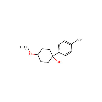 CCCc1ccc(C2(O)CCC(OC(=O)O)CC2)cc1